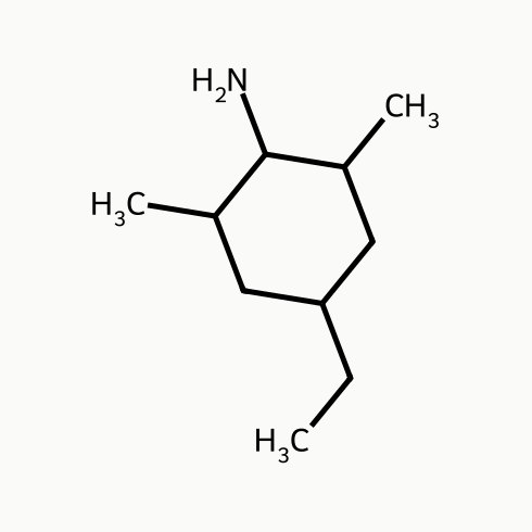 CCC1CC(C)C(N)C(C)C1